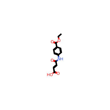 CCOC(=O)c1ccc(NC(=O)C=CC(=O)O)cc1